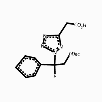 CCCCCCCCCCCC(F)(c1ccccc1)n1nnc(CC(=O)O)n1